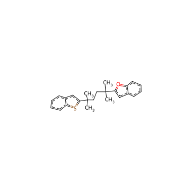 CC(C)(CCC(C)(C)c1cc2ccccc2s1)c1cc2ccccc2o1